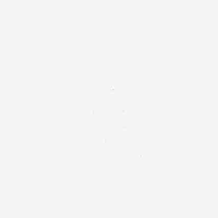 Cc1ccc(C(CCC(Cc2ccc(C)c(C)c2C)c2ccccc2)c2ccccc2)c(C)c1